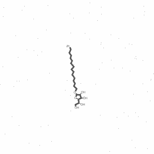 CC(C)CCCCCCCCCCCCCCCOC1O[C@H]([C@H](O)CO)[C@H](O)[C@@H]1O